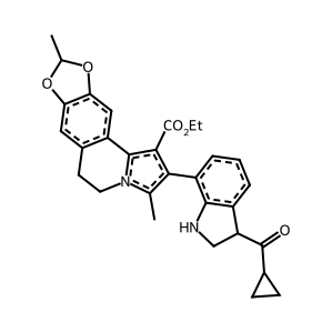 CCOC(=O)c1c(-c2cccc3c2NCC3C(=O)C2CC2)c(C)n2c1-c1cc3c(cc1CC2)OC(C)O3